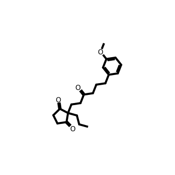 CCCC1(CCC(=O)CCCc2cccc(OC)c2)C(=O)CCC1=O